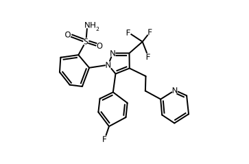 NS(=O)(=O)c1ccccc1-n1nc(C(F)(F)F)c(CCc2ccccn2)c1-c1ccc(F)cc1